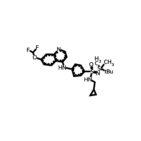 CC(C)(C)[Si](C)(C)N=S(=O)(NCC1CC1)c1ccc(Nc2ccnc3cc(OC(F)F)ccc23)cc1